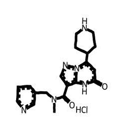 CN(Cc1cccnc1)C(=O)c1cnn2c(C3CCNCC3)cc(=O)[nH]c12.Cl